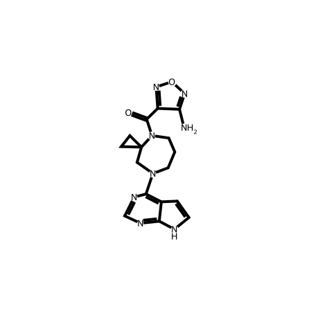 Nc1nonc1C(=O)N1CCCN(c2ncnc3[nH]ccc23)CC12CC2